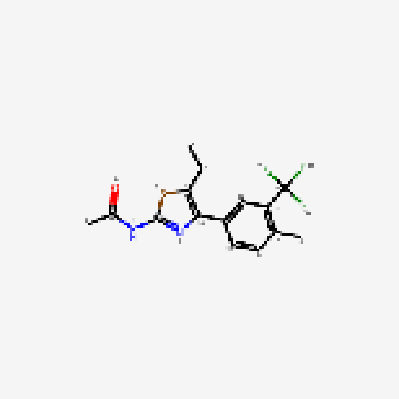 CCc1sc(NC(C)=O)nc1-c1ccc(C)c(C(F)(F)F)c1